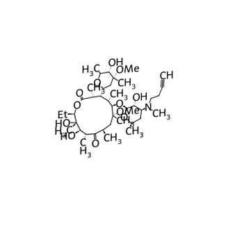 C#CCCN(C)[C@H]1C[C@@H](C)O[C@@H](O[C@@H]2[C@@H](C)C([C@H]3C[C@@](C)(OC)[C@@H](O)[C@H](C)O3)[C@@H](C)C(=O)O[C@H](CC)[C@@](C)(O)[C@H](O)[C@@H](C)C(=O)[C@H](C)C[C@@]2(C)OC)[C@@H]1O